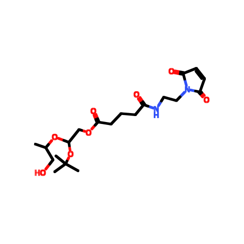 CC(CO)OC(COC(=O)CCCC(=O)NCCN1C(=O)C=CC1=O)OC(C)(C)C